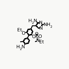 CCOc1cc(Cc2cnc(N)nc2N)cc(OS(=O)(=O)N(C)CC)c1-c1ccc(N)c(C)c1